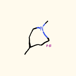 CC1CCN(C)CC1.I